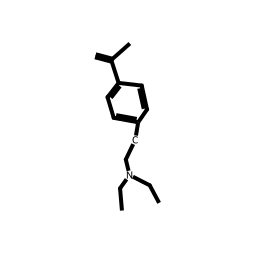 C=C(C)c1ccc(CCN(CC)CC)cc1